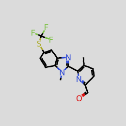 Cc1ccc(C=O)nc1-c1nc2cc(SC(F)(F)F)ccc2n1C